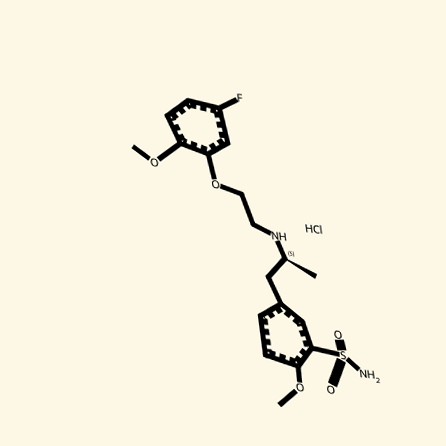 COc1ccc(F)cc1OCCN[C@@H](C)Cc1ccc(OC)c(S(N)(=O)=O)c1.Cl